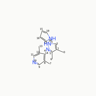 Cc1c[nH]nc1C.Cc1cncc(C)c1.c1cc[nH]c1